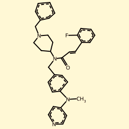 CN(c1ccncc1)c1ccc(CN(C(=O)/C=C/c2ccccc2F)C2CCN(Cc3ccccc3)CC2)cc1